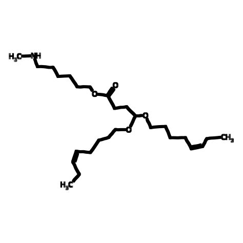 CC/C=C\CCCCOC(CCC(=O)OCCCCCCNC)OCCCC/C=C\CC